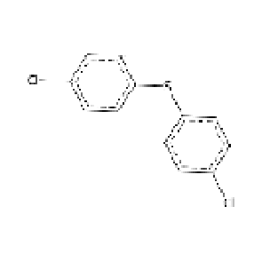 Clc1c[c]c(Sc2ccc(Cl)cc2)cc1